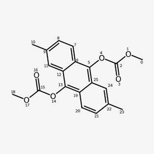 COC(=O)Oc1c2ccc(C)cc2c(OC(=O)OC)c2ccc(C)cc12